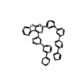 c1ccc(-c2ccc(-c3cccc(-c4cccc(-c5nc(-c6cccc(-c7cccc(-c8ccccc8)c7)c6)c6c(n5)oc5ccccc56)c4)c3)cc2)cc1